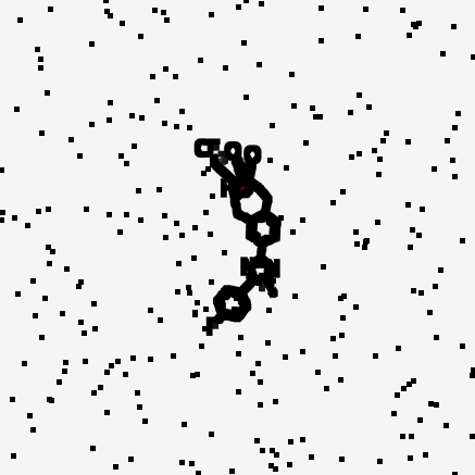 Cn1nc(-c2ccc3c(c2)CC2CCC(C3)C23CN(CC(F)(F)F)S(=O)(=O)N3)nc1-c1ccc(F)cc1